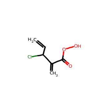 C=CC(Cl)C(=C)C(=O)OO